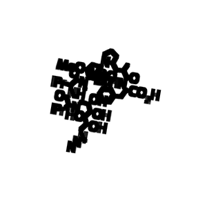 CCC(C)C(C(CC(=O)N1CCCC1C(OC)C(C)C(=O)NC(Cc1ccccc1)C(=O)O)OC)N(C)C(=O)C(NC(=O)C(C(C)C)N(C)CC(O)C(O)C(O)C(O)CN=[N+]=[N-])C(C)C